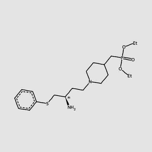 CCOP(=O)(CC1CCN(CC[C@@H](N)CSc2ccccc2)CC1)OCC